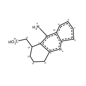 Nc1c2c(nc3ccccc13)CCCC2CC(=O)O